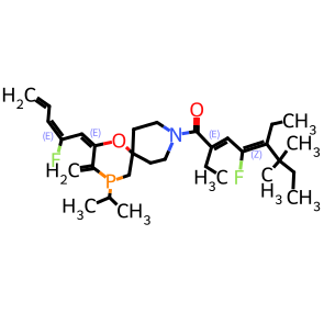 C=C/C=C(F)\C=C1\OC2(CCN(C(=O)/C(=C/C(F)=C(\CC)C(C)(C)CC)CC)CC2)CP(C(C)C)C1=C